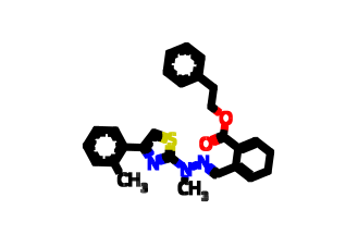 Cc1ccccc1-c1csc(N(C)/N=C/C2=CCCC=C2C(=O)OCCc2ccccc2)n1